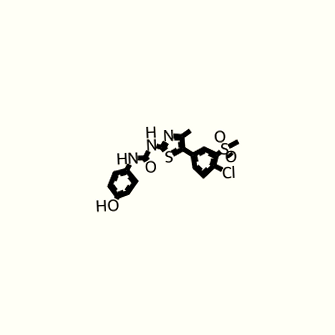 Cc1nc(NC(=O)Nc2ccc(O)cc2)sc1-c1ccc(Cl)c(S(C)(=O)=O)c1